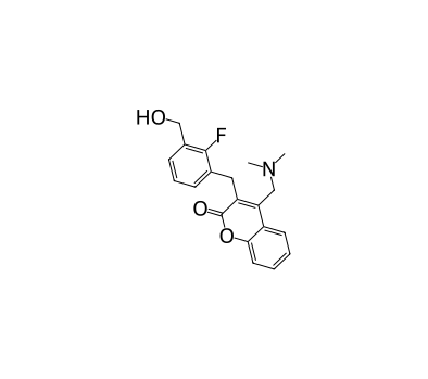 CN(C)Cc1c(Cc2cccc(CO)c2F)c(=O)oc2ccccc12